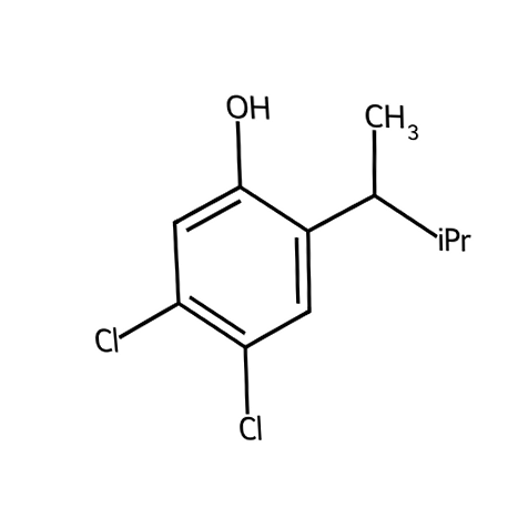 CC(C)C(C)c1cc(Cl)c(Cl)cc1O